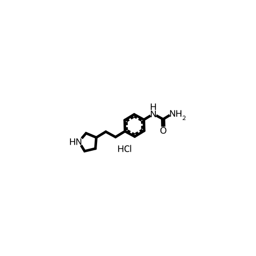 Cl.NC(=O)Nc1ccc(CCC2CCNC2)cc1